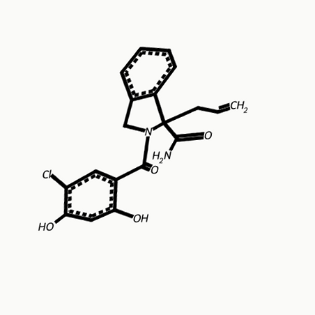 C=CCC1(C(N)=O)c2ccccc2CN1C(=O)c1cc(Cl)c(O)cc1O